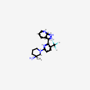 CC1(N)CCCN(c2ccc(C(F)(F)F)c(-c3n[nH]c4ncccc34)n2)C1